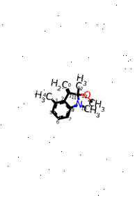 C=C1c2c(C)cccc2N(C)C1(C)OC